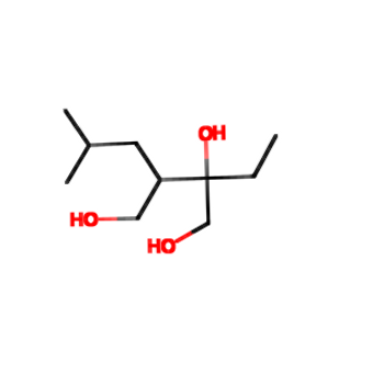 CCC(O)(CO)C(CO)CC(C)C